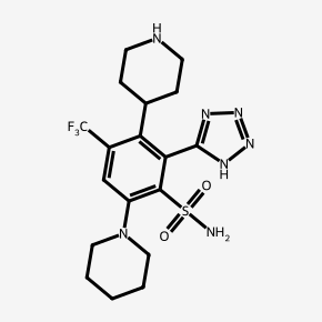 NS(=O)(=O)c1c(N2CCCCC2)cc(C(F)(F)F)c(C2CCNCC2)c1-c1nnn[nH]1